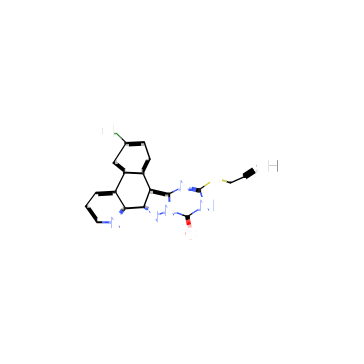 C#CCSc1nc2c3c4ccc(Cl)cc4c4cccnc4c3nn2c(=O)[nH]1